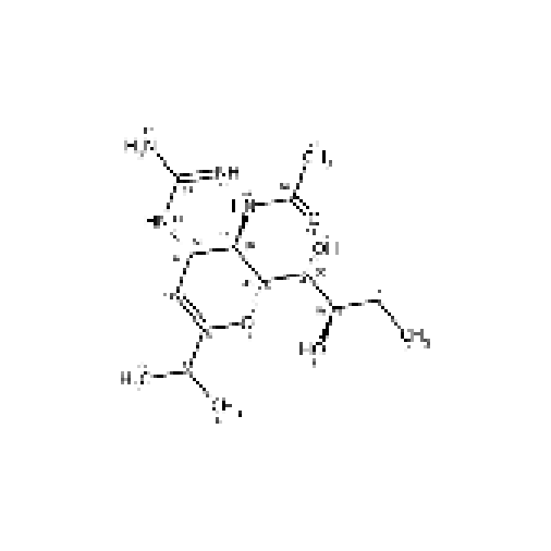 CC[C@@H](O)[C@@H](O)[C@@H]1OC(C(C)C)=C[C@H](NC(=N)N)[C@H]1NC(C)=O